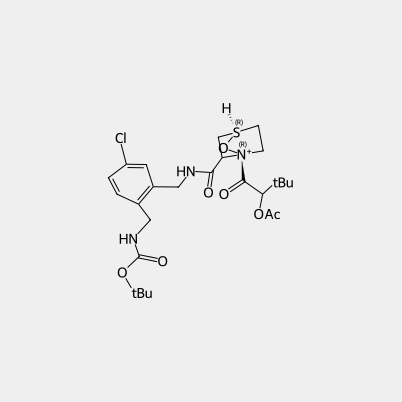 CC(=O)OC(C(=O)[N@@+]12CC[S@H](CC1C(=O)NCc1cc(Cl)ccc1CNC(=O)OC(C)(C)C)O2)C(C)(C)C